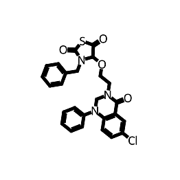 O=C1SC(=O)N(Cc2ccccc2)C1OCCN1CN(c2ccccc2)c2ccc(Cl)cc2C1=O